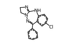 Clc1ccc2c(c1)C(c1ccccc1)=NN1CCN=C1N2